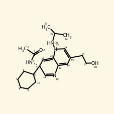 CC(=O)N[C@@]1([C]2CCCCC2)C=NC2=CC(CCO)=CN(NC(C)C)C2=C1